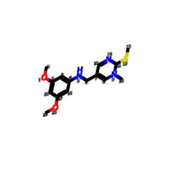 COc1cc(NCC2=CN(C)C(SC)N=C2)cc(OC)c1